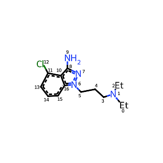 CCN(CC)CCCn1nc(N)c2c(Cl)cccc21